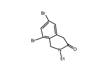 CCN1Cc2c(Br)cc(Br)cc2CC1=O